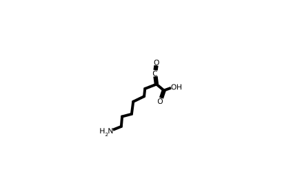 NCCCCCCC(=C=O)C(=O)O